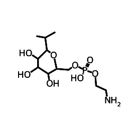 CC(C)C1OC(COP(=O)(O)OCCN)C(O)C(O)C1O